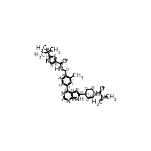 Cc1cc(-c2ncnc3[nH]c(C4C=CN(C(=O)N(C)C)CC4)cc23)ccc1CNC(=O)c1cnc(C(C)(C)C)s1